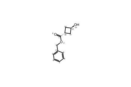 O=C(OCc1ccccc1)[C@H]1C[C@H](O)C1